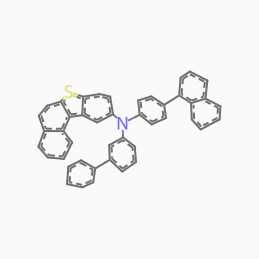 c1ccc(-c2cccc(N(c3ccc(-c4cccc5ccccc45)cc3)c3ccc4sc5ccc6ccccc6c5c4c3)c2)cc1